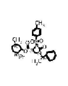 Cc1ccc(S(=O)(=O)N2C(=O)N([C@H](C)c3ccccc3)C[C@@H]2C(=O)OC2C[C@H](C)CC[C@H]2C(C)C)cc1